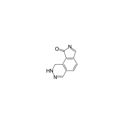 O=C1N=Cc2ccc3c(c21)CNN=C3